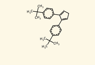 CC(C)(C)c1ccc(C2=[C]CC=C2c2ccc(C(C)(C)C)cc2)cc1